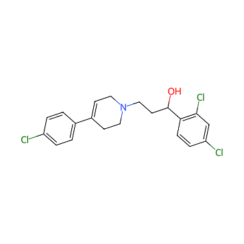 OC(CCN1CC=C(c2ccc(Cl)cc2)CC1)c1ccc(Cl)cc1Cl